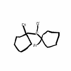 CCC1([S+]([O-])C2(CC)CCCC2)CCCC1